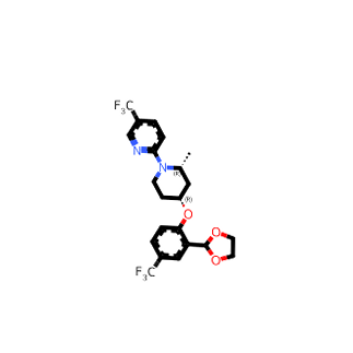 C[C@@H]1C[C@H](Oc2ccc(C(F)(F)F)cc2C2OCCO2)CCN1c1ccc(C(F)(F)F)cn1